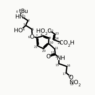 CC(C)(C)NCC(O)COc1ccc(CC(=O)NCCCO[N+](=O)[O-])cc1.O=C(O)/C=C/C(=O)O